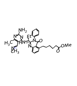 CC[C@H](Nc1nc(N)nc(C)c1/C=N/C)c1nc2cccc(CCCCCC(=O)OC)c2c(=O)n1-c1ccccc1